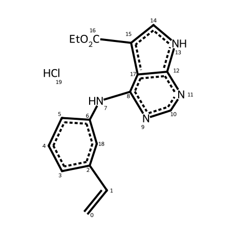 C=Cc1cccc(Nc2ncnc3[nH]cc(C(=O)OCC)c23)c1.Cl